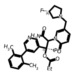 CCC(=O)O[C@](c1cncc(-c2c(C)cccc2C)c1)(C(C)C)C(C(N)=O)n1cc(CN2CC[C@@H](F)C2)ccc1=O